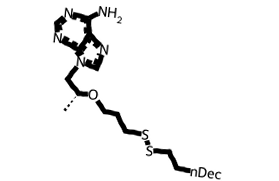 CCCCCCCCCCCCSSCCCO[C@H](C)Cn1cnc2c(N)ncnc21